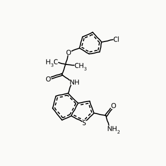 CC(C)(Oc1ccc(Cl)cc1)C(=O)Nc1cccc2sc(C(N)=O)cc12